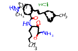 CCCCC(NC(=O)c1ccccc1C=Cc1ccc(C)cc1)C(=O)C(N)=O.CNC.Cl